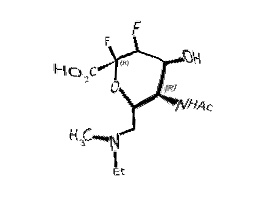 CCN(C)CC1O[C@@](F)(C(=O)O)C(F)C(O)[C@H]1NC(C)=O